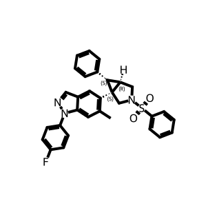 Cc1cc2c(cnn2-c2ccc(F)cc2)cc1[C@@]12CN(S(=O)(=O)c3ccccc3)C[C@@H]1[C@H]2c1ccccc1